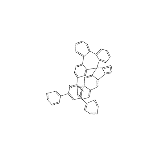 c1ccc(-c2cc(-c3ccccc3)nc(-c3ccc4c(c3)C3(c5ccccc5-c5ccccc5-4)c4ccccc4-c4cc5ccccc5cc43)n2)cc1